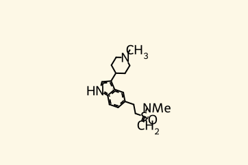 C=S(=O)(CCc1ccc2[nH]cc(C3CCN(C)CC3)c2c1)NC